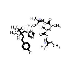 CC(C)(C)C(O)(CCc1ccc(Cl)cc1)Cn1cncn1.CS/C(C)=N\OC(=O)N(C)SN(C)C(=O)O/N=C(/C)SC